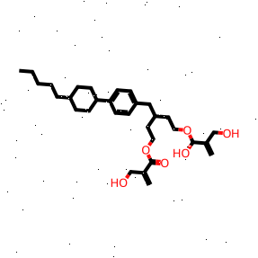 C=C(CO)C(=O)OCCC(CCOC(O)C(=C)CO)Cc1ccc(C2CCC(CCCCC)CC2)cc1